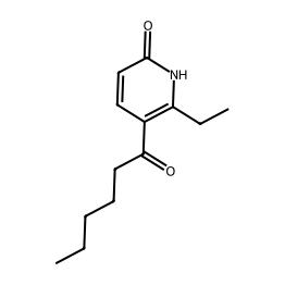 CCCCCC(=O)c1ccc(=O)[nH]c1CC